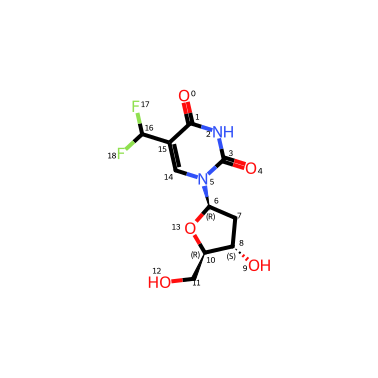 O=c1[nH]c(=O)n([C@H]2C[C@H](O)[C@@H](CO)O2)cc1C(F)F